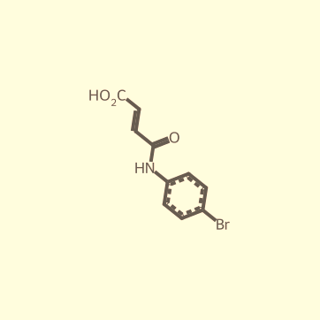 O=C(O)C=CC(=O)Nc1ccc(Br)cc1